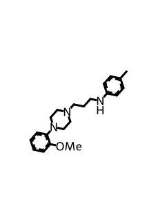 COc1ccccc1N1CCN(CCCNc2ccc(C)cc2)CC1